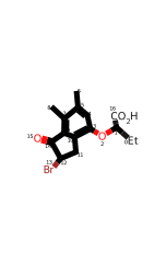 CCC(Oc1cc(C)c(C)c2c1CC(Br)C2=O)C(=O)O